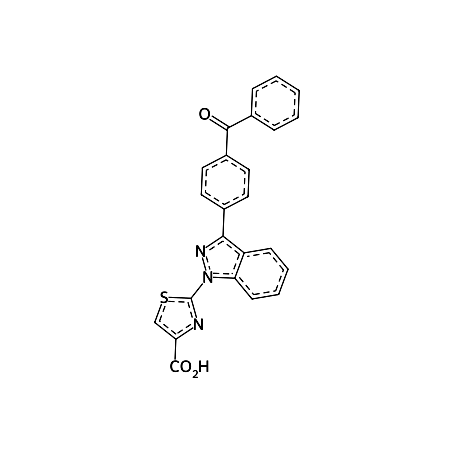 O=C(c1ccccc1)c1ccc(-c2nn(-c3nc(C(=O)O)cs3)c3ccccc23)cc1